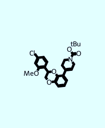 COc1cc(Cl)ccc1C1COc2cccc(C3=CCN(C(=O)OC(C)(C)C)CC3)c2O1